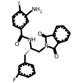 Nc1cc(C(=O)N[C@@H](Cc2cccc(F)c2)CN2C(=O)c3ccccc3C2=O)ccc1I